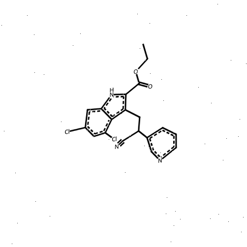 CCOC(=O)c1[nH]c2cc(Cl)cc(Cl)c2c1CC(C#N)c1cccnc1